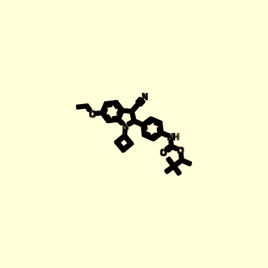 CCOc1ccc2c(c1)N(C1CCC1)C(c1ccc(NC(=O)OC(C)C(C)(C)C)cc1)C2C#N